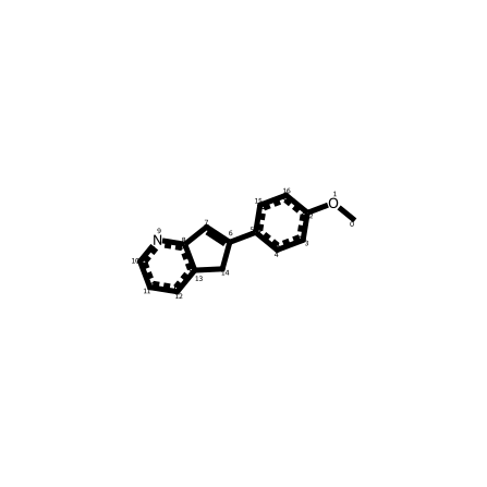 COc1ccc(C2=Cc3ncccc3C2)cc1